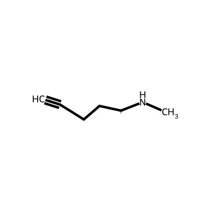 C#CCC[CH]NC